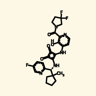 CC1([C@@H](Nc2c(Nc3ccnc(C(=O)N4CCC(F)(F)C4)c3O)c(=O)c2=O)c2ccc(F)cn2)CCCC1